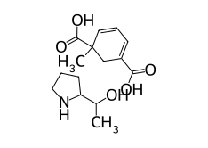 CC(O)C1CCCN1.CC1(C(=O)O)C=CC=C(C(=O)O)C1